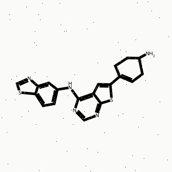 NC1CC=C(c2cc3c(Nc4ccc5scnc5c4)ncnc3s2)CC1